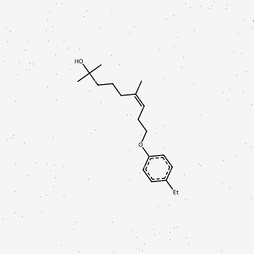 CCc1ccc(OCCC=C(C)CCCC(C)(C)O)cc1